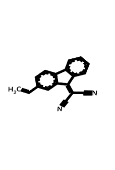 C=Cc1ccc2c(c1)C(=C(C#N)C#N)c1ccccc1-2